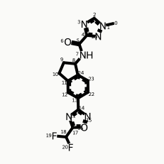 Cn1cnc(C(=O)NC2CCc3cc(-c4noc(C(F)F)n4)ccc32)n1